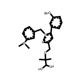 CC(C)COc1cccc(-c2cc(COC(C)(C)C(O)O)nn2Cc2cccc(N(C)C)c2)c1